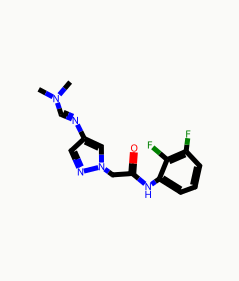 CN(C)/C=N/c1cnn(CC(=O)Nc2cccc(F)c2F)c1